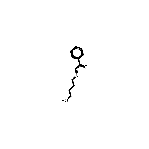 O=C(C=NCCCCO)c1ccccc1